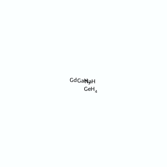 [GaH3].[Gd].[GeH4].[NaH]